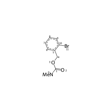 [CH2]NC(=O)OCc1ccccc1Br